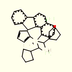 Cl.Cl.[CH2]=[Zr]([C]1=CC=CC1)([c]1cccc2ccc3c(c12)Cc1ccccc1-3)([CH](C)C1CCCC1)[CH](C)C1CCCC1